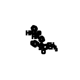 CC1(C)CC(=O)c2sc(N3CCOCC3)c(-c3cccc(NC(=O)c4c[nH]c5ccccc45)c3)c2C1